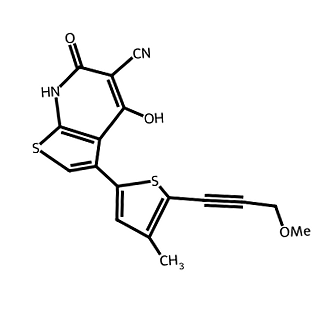 COCC#Cc1sc(-c2csc3[nH]c(=O)c(C#N)c(O)c23)cc1C